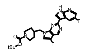 CC(C)(C)OC(=O)N1CCC(Cn2cc(F)c3cnc(-c4c[nH]c5ncc(F)cc45)nc32)CC1